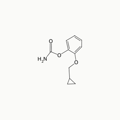 NC(=O)Oc1ccccc1OCC1CC1